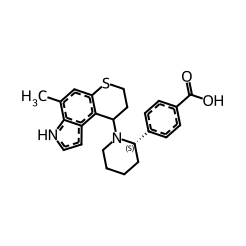 Cc1cc2c(c3cc[nH]c13)C(N1CCCC[C@H]1c1ccc(C(=O)O)cc1)CCS2